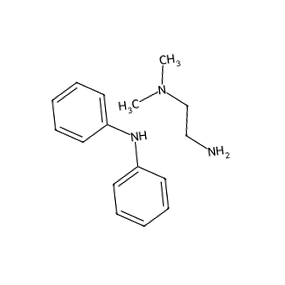 CN(C)CCN.c1ccc(Nc2ccccc2)cc1